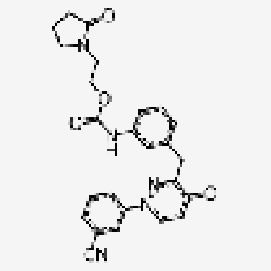 N#Cc1cccc(-n2ccc(=O)c(Cc3cccc(NC(=O)OCCN4CCCC4=O)c3)n2)c1